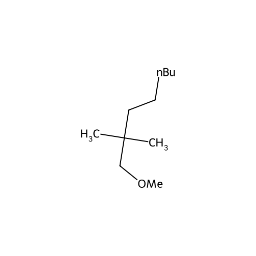 CCCCCCC(C)(C)COC